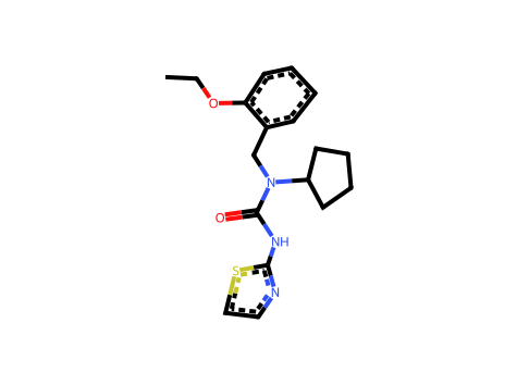 CCOc1ccccc1CN(C(=O)Nc1nccs1)C1CCCC1